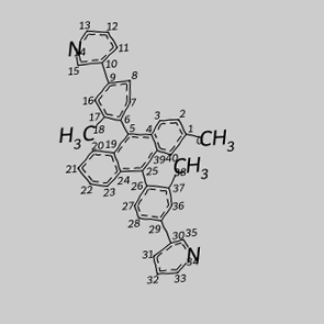 Cc1ccc2c(-c3ccc(-c4cccnc4)cc3C)c3ccccc3c(-c3ccc(-c4cccnc4)cc3C)c2c1